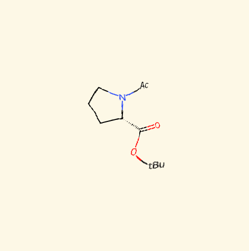 CC(=O)N1CCC[C@H]1C(=O)OC(C)(C)C